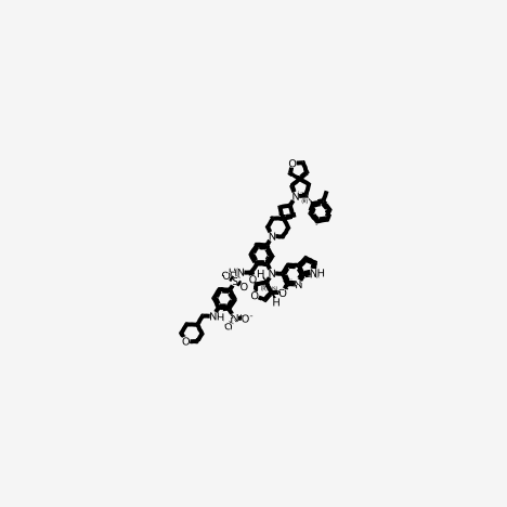 Cc1ccccc1[C@H]1CC2(CCOC2)CN1C1CC2(CCN(c3ccc(C(=O)NS(=O)(=O)c4ccc(NCC5CCOCC5)c([N+](=O)[O-])c4)c(N4c5cc6cc[nH]c6nc5O[C@@H]5COC[C@H]54)c3)CC2)C1